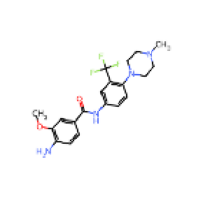 COc1cc(C(=O)Nc2ccc(N3CCN(C)CC3)c(C(F)(F)F)c2)ccc1N